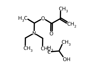 C=C(C)C(=O)OC(C)N(CC)CC.CC(C)O